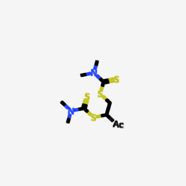 CC(=O)C(CSC(=S)N(C)C)SC(=S)N(C)C